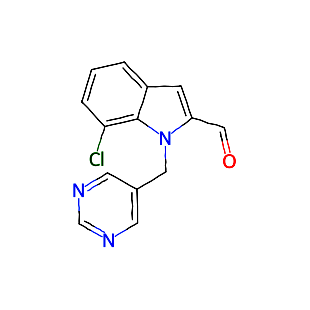 O=Cc1cc2cccc(Cl)c2n1Cc1cncnc1